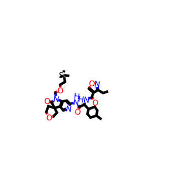 CCc1nocc1C(=O)N[C@H](C(=O)Nc1cc2c(cn1)C1(CCOCC1)C(=O)N2COCC[Si](C)(C)C)C1CCC(C)CC1